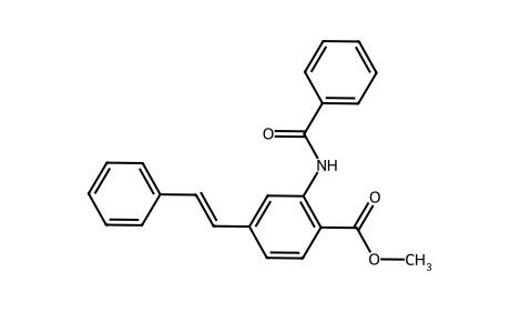 COC(=O)c1ccc(/C=C/c2ccccc2)cc1NC(=O)c1ccccc1